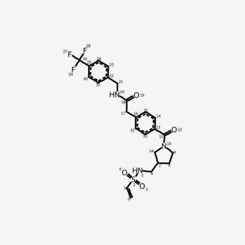 C=CS(=O)(=O)NCC1CCN(C(=O)c2ccc(CC(=O)NCc3ccc(C(F)(F)F)cc3)cc2)C1